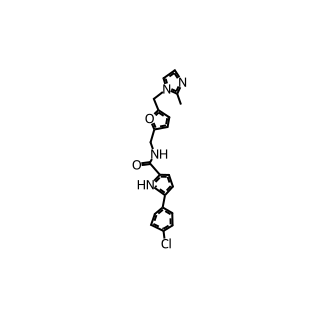 Cc1nccn1Cc1ccc(CNC(=O)c2ccc(-c3ccc(Cl)cc3)[nH]2)o1